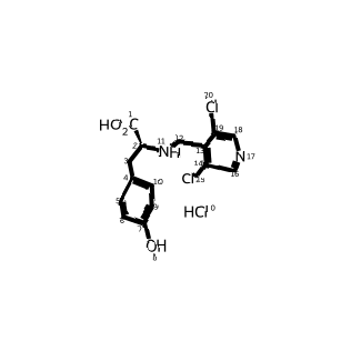 Cl.O=C(O)[C@H](Cc1ccc(O)cc1)NCc1c(Cl)cncc1Cl